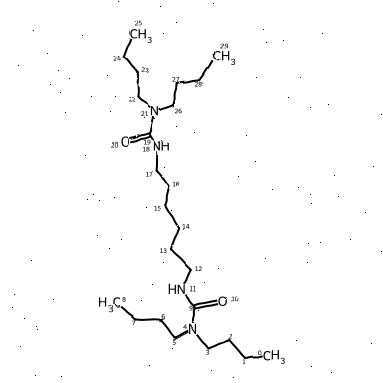 CCCCN(CCCC)C(=O)NCCCCCCNC(=O)N(CCCC)CCCC